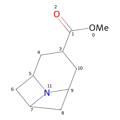 COC(=O)C1CC2CC3CC(C1)N23